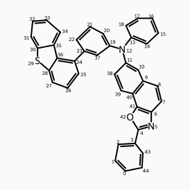 c1ccc(-c2nc3ccc4cc(N(c5ccccc5)c5cccc(-c6cccc7sc8ccccc8c67)c5)ccc4c3o2)cc1